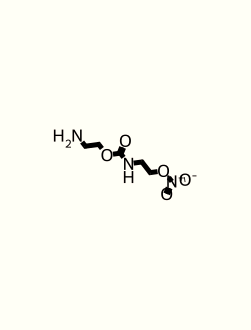 NCCOC(=O)NCCO[N+](=O)[O-]